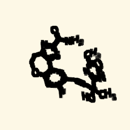 Cc1nc([C@](C)(O)C#Cc2cc3c(cc2F)OCCc2nc(C(N)=O)sc2-3)no1